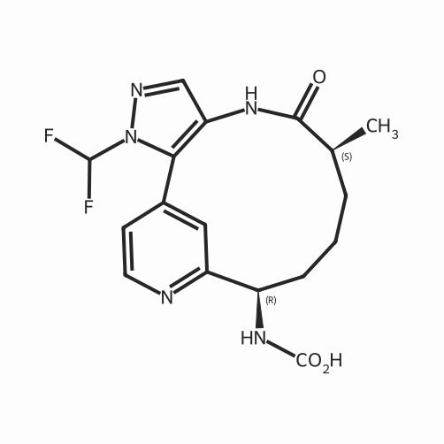 C[C@H]1CCC[C@@H](NC(=O)O)c2cc(ccn2)-c2c(cnn2C(F)F)NC1=O